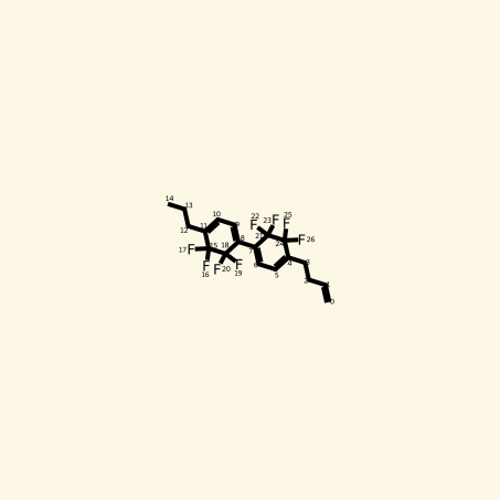 C=CCCC1=CC=C(C2=CC=C(CCC)C(F)(F)C2(F)F)C(F)(F)C1(F)F